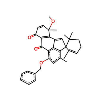 COC1(C)C=CC(=O)C2=C1C1=CC3(C(C)=CCCC3(C)C)c3c(C)cc(OCc4ccccc4)c(c31)C2=O